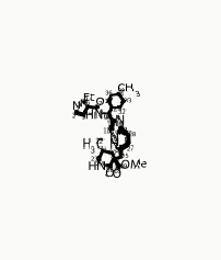 CCn1nccc1C(=O)N[C@H](c1cn2nc(CC3(C(=O)OC)CC(C)CNC3=O)ccc2n1)C1CCC(C)CC1